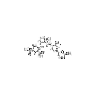 CCOC(C=N)c1ccc(OCc2c(Cl)cccc2Cc2ccc(C(=O)O)cc2C(=O)O)c(C)c1